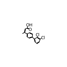 C/C(=C/C(=O)O)c1ccc(-c2cccc(Cl)c2Cl)cc1